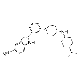 CC(C)[C@H]1CC[C@@H](NC2CCN(c3cccc(-c4cc5cc(C#N)ccc5[nH]4)c3)CC2)CC1